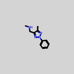 CNCc1nn(-c2ccccc2)nc1C